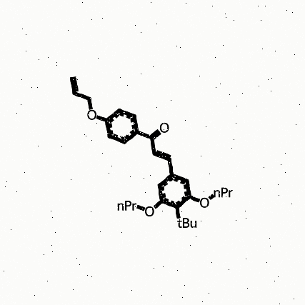 C=CCOc1ccc(C(=O)C=Cc2cc(OCCC)c(C(C)(C)C)c(OCCC)c2)cc1